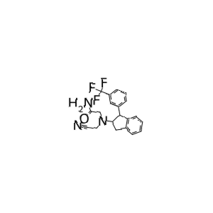 N#CCN(CC(N)=O)C1Cc2ccccc2C1c1cccc(C(F)(F)F)c1